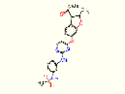 CNC(=O)C1c2ccc(Oc3ccnc(Nc4cccc(NS(C)(=O)=O)c4)n3)cc2OC1C